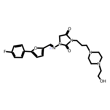 O=C1CN(/N=C/c2ccc(-c3ccc(F)cc3)o2)C(=O)N1CCCN1CCN(CCO)CC1